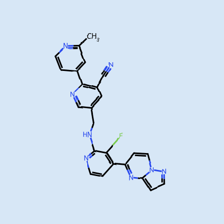 Cc1cc(-c2ncc(CNc3nccc(-c4ccn5nccc5n4)c3F)cc2C#N)ccn1